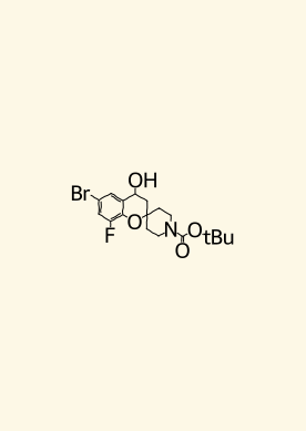 CC(C)(C)OC(=O)N1CCC2(CC1)CC(O)c1cc(Br)cc(F)c1O2